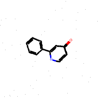 O=C1C=C[N]C(c2ccccc2)=C1